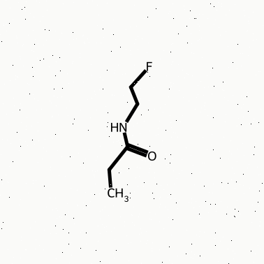 CCC(=O)NCCF